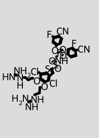 N#Cc1ccc(OP(=O)(CNS(=O)(=O)c2cc3c(Cl)c(OCCCNC(=N)N)c(OCCCNC(=N)N)c(Cl)c3s2)Oc2ccc(C#N)c(F)c2)cc1F